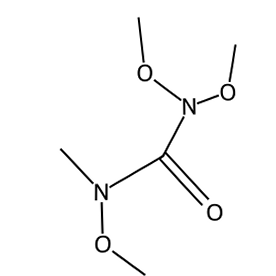 CON(C)C(=O)N(OC)OC